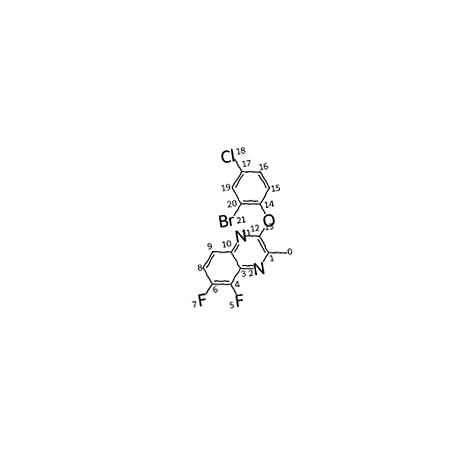 Cc1nc2c(F)c(F)ccc2nc1Oc1ccc(Cl)cc1Br